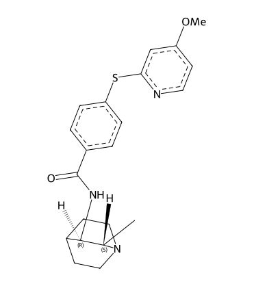 COc1ccnc(Sc2ccc(C(=O)N[C@@H]3C4CCN(CC4)[C@H]3C)cc2)c1